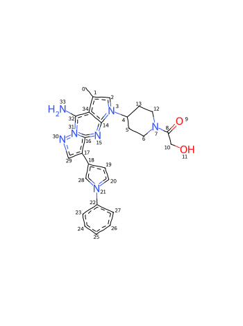 Cc1cn(C2CCN(C(=O)CO)CC2)c2nc3c(-c4ccn(-c5ccccc5)c4)cnn3c(N)c12